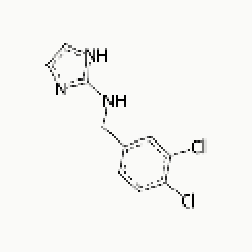 Clc1ccc(CNc2ncc[nH]2)cc1Cl